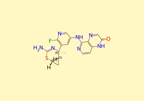 C[C@@]1(c2cc(Nc3nccc4[nH]c(=O)cnc34)cnc2F)N=C(N)S[C@H]2C[C@H]21